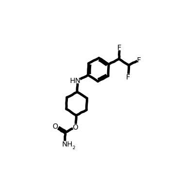 NC(=O)OC1CCC(Nc2ccc(C(F)C(F)F)cc2)CC1